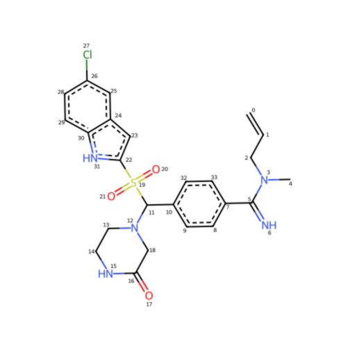 C=CCN(C)C(=N)c1ccc(C(N2CCNC(=O)C2)S(=O)(=O)c2cc3cc(Cl)ccc3[nH]2)cc1